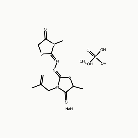 C.C=C(C)CN1C(=O)C(C)SC1=NN=C1SCC(=O)N1C.O=P(O)(O)O.[NaH]